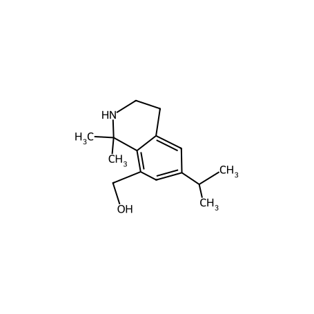 CC(C)c1cc(CO)c2c(c1)CCNC2(C)C